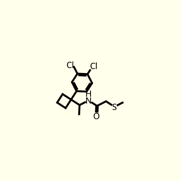 CSCC(=O)NC(C)C1(c2ccc(Cl)c(Cl)c2)CCC1